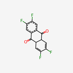 O=C1c2cc(F)c(F)cc2C(=O)C2C=C(F)C(F)=CC12